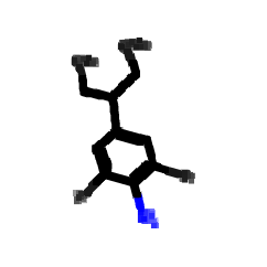 COCC(COC)c1cc(C(C)C)c(N)c(C(C)C)c1